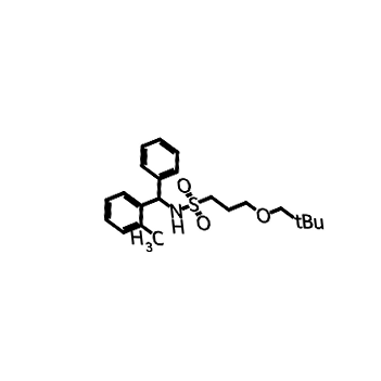 Cc1ccccc1C(NS(=O)(=O)CCCOCC(C)(C)C)c1ccccc1